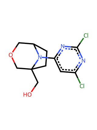 OCC12CCC(COC1)N2c1cc(Cl)nc(Cl)n1